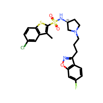 Cc1c(S(=O)(=O)N[C@H]2CCN(CCCc3noc4cc(F)ccc34)C2)sc2ccc(Cl)cc12